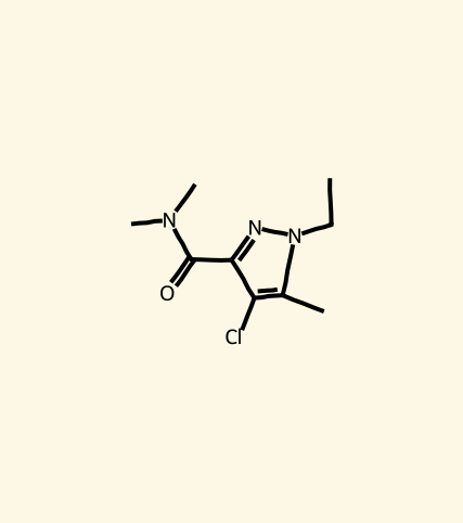 CCn1nc(C(=O)N(C)C)c(Cl)c1C